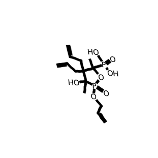 C=CCOP1(=O)OC(C)(P(=O)(O)O)C(CC=C)(CC=C)C1(C)O